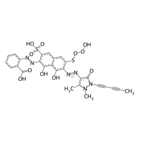 CC#CC#Cn1c(=O)c(/N=N/c2c(SOOO)cc3cc(S(=O)(=O)O)c(N=Nc4ccccc4C(=O)O)c(O)c3c2O)c(C)n1C